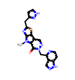 Cn1c2nc(Cc3cc[nH]n3)sc2c2cnn(Cc3nccc4[nH]ncc34)c(=O)c21